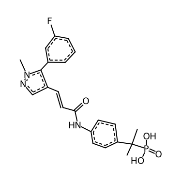 Cn1ncc(/C=C/C(=O)Nc2ccc(C(C)(C)P(=O)(O)O)cc2)c1-c1cccc(F)c1